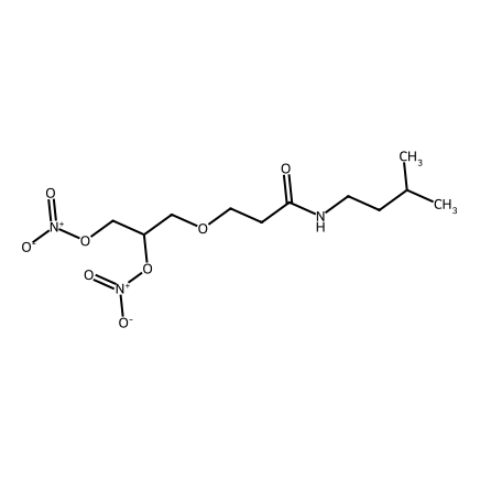 CC(C)CCNC(=O)CCOCC(CO[N+](=O)[O-])O[N+](=O)[O-]